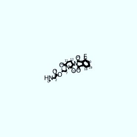 CNCC(=O)OCCN1C(=O)CCC(N2C(=O)c3cccc(F)c3C2=O)C1=O